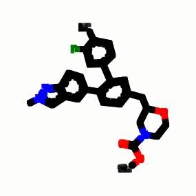 Cn1cc2cc(-c3ccc(CC4CN(C(=O)OC(C)(C)C)CCO4)cc3-c3ccc(C#N)c(F)c3)ccc2n1